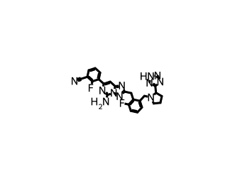 N#Cc1cccc(-c2cc3nc(Cc4c(F)cccc4CN4CCCC4c4nn[nH]n4)nn3c(N)n2)c1F